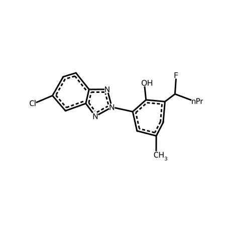 CCCC(F)c1cc(C)cc(-n2nc3ccc(Cl)cc3n2)c1O